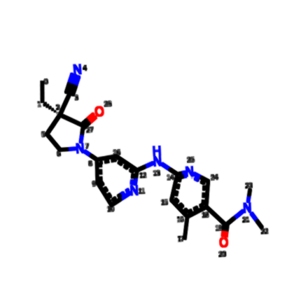 CC[C@@]1(C#N)CCN(c2ccnc(Nc3cc(C)c(C(=O)N(C)C)cn3)c2)C1=O